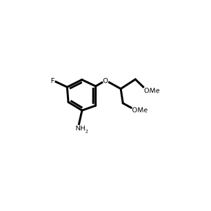 COCC(COC)Oc1cc(N)cc(F)c1